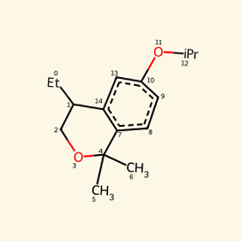 CCC1COC(C)(C)c2ccc(OC(C)C)cc21